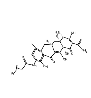 CC(C)NCC(=O)Nc1cc(F)c2c(c1O)C(=O)C1=C(O)[C@]3(O)C(=O)C(C(N)=O)=C(O)[C@@H](N)[C@@H]3C[C@@H]1C2